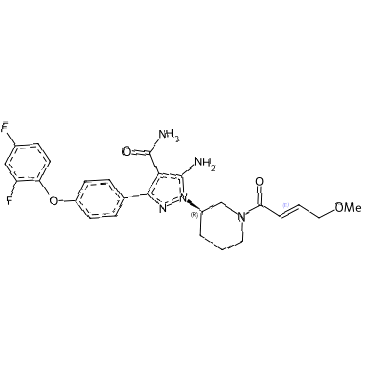 COC/C=C/C(=O)N1CCC[C@@H](n2nc(-c3ccc(Oc4ccc(F)cc4F)cc3)c(C(N)=O)c2N)C1